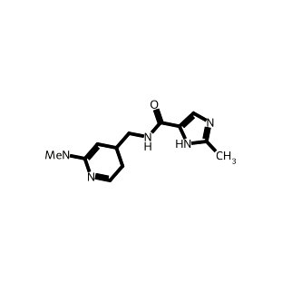 CNC1=CC(CNC(=O)c2cnc(C)[nH]2)CC=N1